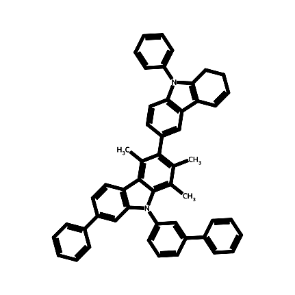 Cc1c(-c2ccc3c(c2)c2c(n3-c3ccccc3)CCC=C2)c(C)c2c3ccc(-c4ccccc4)cc3n(-c3cccc(-c4ccccc4)c3)c2c1C